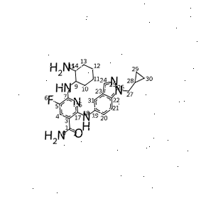 NC(=O)c1cc(F)c(NC2CCCCC2N)nc1Nc1ccc2c(cnn2CC2CC2)c1